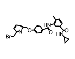 Cc1ccc(C(=O)NC2CC2)cc1NC(=O)c1ccc(OCc2cccc(CBr)n2)cc1